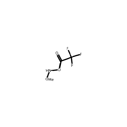 CONOC(=O)C(F)(F)F